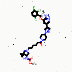 C[C@@H](Oc1cc(-c2cnn(C3CCN(C(=O)CCCCCN4C[C@H](NC(=O)OC(C)(C)C)C5(CC5)C4)CC3)c2)cnc1N)c1c(Cl)ccc(F)c1Cl